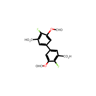 O=COc1cc(-c2cc(OC=O)c(F)c(C(=O)O)c2)cc(C(=O)O)c1F